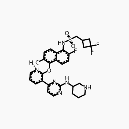 Cc1ccc2c(NS(=O)(=O)CC3CC(F)(F)C3)c(F)ccc2c1Oc1ncccc1-c1ccnc(NC2CCCNC2)n1